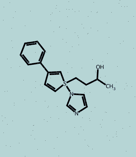 CC(O)CCS1(n2ccnc2)C=CC(c2ccccc2)=C1